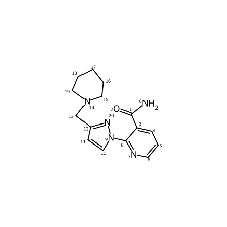 NC(=O)c1cccnc1-n1ccc(CN2CCCCC2)n1